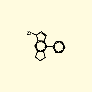 [Zr][CH]1C=Cc2c1cc1c(c2-c2ccccc2)CCC1